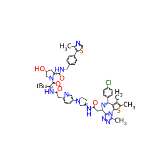 Cc1ncsc1-c1ccc(CNC(=O)[C@@H]2CC(O)CN2C(=O)[C@@H](NC(=O)Cc2ccc(N3CC[C@H](NC(=O)CC4N=C(c5ccc(Cl)cc5)c5c(sc(C)c5C)-n5c(C)nnc54)C3)cn2)C(C)(C)C)cc1